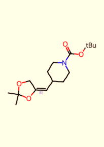 CC(C)(C)OC(=O)N1CCC(/C=C2\COC(C)(C)O2)CC1